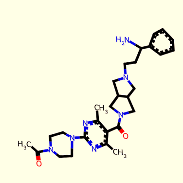 CC(=O)N1CCN(c2nc(C)c(C(=O)N3CC4CN(CCC(N)c5ccccc5)CC4C3)c(C)n2)CC1